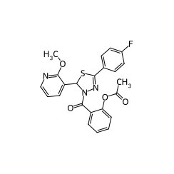 COc1ncccc1C1SC(c2ccc(F)cc2)=NN1C(=O)c1ccccc1OC(C)=O